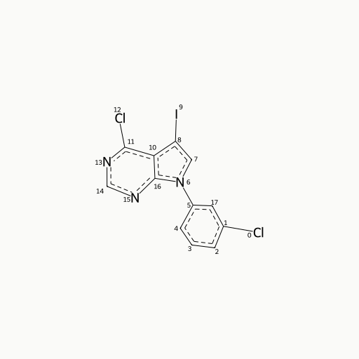 Clc1cccc(-n2cc(I)c3c(Cl)ncnc32)c1